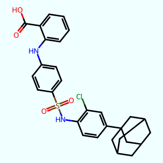 O=C(O)c1ccccc1Nc1ccc(S(=O)(=O)Nc2ccc(C34CC5CC(CC(C5)C3)C4)cc2Cl)cc1